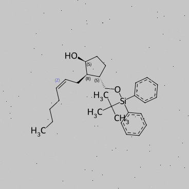 CCCC/C=C\C[C@@H]1[C@@H](CO[Si](c2ccccc2)(c2ccccc2)C(C)(C)C)CC[C@@H]1O